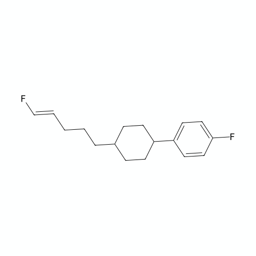 FC=CCCCC1CCC(c2ccc(F)cc2)CC1